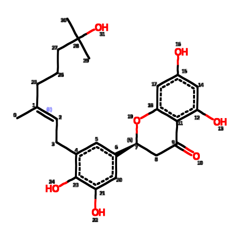 C/C(=C\Cc1cc([C@@H]2CC(=O)c3c(O)cc(O)cc3O2)cc(O)c1O)CCCC(C)(C)O